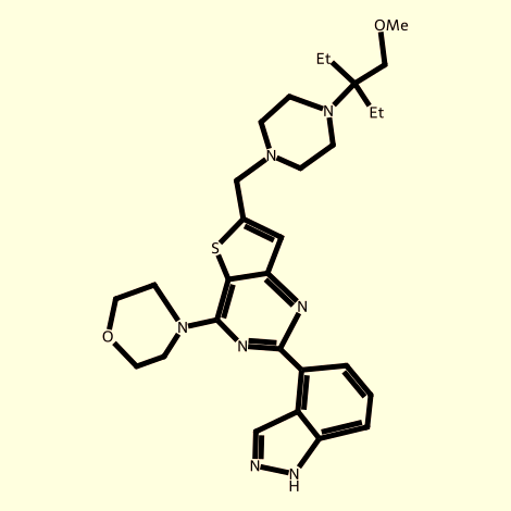 CCC(CC)(COC)N1CCN(Cc2cc3nc(-c4cccc5[nH]ncc45)nc(N4CCOCC4)c3s2)CC1